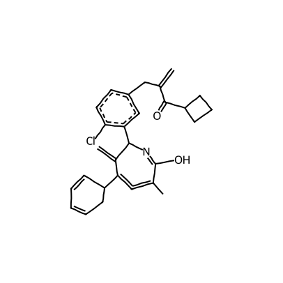 C=C(Cc1ccc(Cl)c(C2N=C(O)C(C)=C=C(C3C=CC=CC3)C2=C)c1)C(=O)C1CCC1